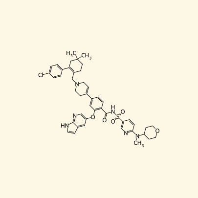 CN(c1ccc(S(=O)(=O)NC(=O)c2ccc(C3=CCN(CC4=C(c5ccc(Cl)cc5)CC(C)(C)CC4)CC3)cc2Oc2cnc3[nH]ccc3c2)cn1)C1CCOCC1